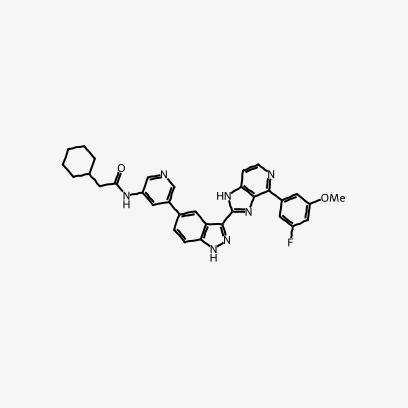 COc1cc(F)cc(-c2nccc3[nH]c(-c4n[nH]c5ccc(-c6cncc(NC(=O)CC7CCCCC7)c6)cc45)nc23)c1